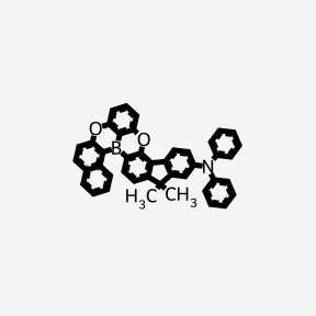 CC1(C)c2cc(N(c3ccccc3)c3ccccc3)ccc2-c2c1ccc1c2Oc2cccc3c2B1c1c(ccc2ccccc12)O3